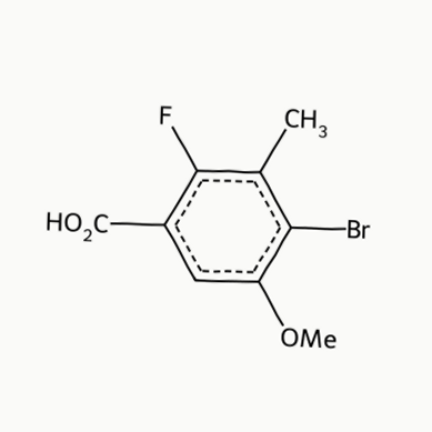 COc1cc(C(=O)O)c(F)c(C)c1Br